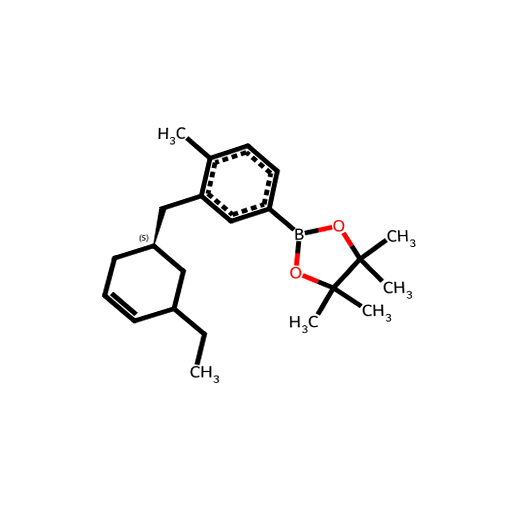 CCC1C=CC[C@@H](Cc2cc(B3OC(C)(C)C(C)(C)O3)ccc2C)C1